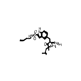 CCCCNS(=O)(=O)c1cc2cc(CC3C(=N)NC(C)(CC(C)C)C3=O)ccc2[nH]1